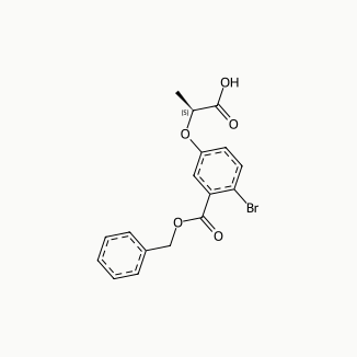 C[C@H](Oc1ccc(Br)c(C(=O)OCc2ccccc2)c1)C(=O)O